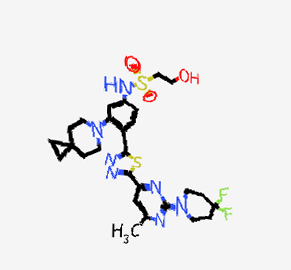 Cc1cc(-c2nnc(-c3ccc(NS(=O)(=O)CCO)cc3N3CCC4(CC3)CC4)s2)nc(N2CCC(F)(F)CC2)n1